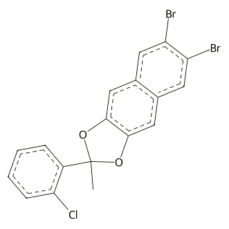 CC1(c2ccccc2Cl)Oc2cc3cc(Br)c(Br)cc3cc2O1